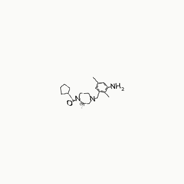 Cc1cc(N)c(C)c(CN2CCN(C(=O)C3CCCC3)[C@@H](C)C2)c1